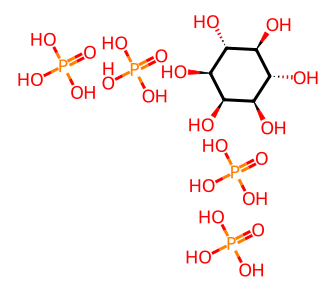 O=P(O)(O)O.O=P(O)(O)O.O=P(O)(O)O.O=P(O)(O)O.O[C@H]1[C@H](O)[C@@H](O)[C@H](O)[C@@H](O)[C@H]1O